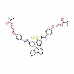 C=C(C)C(=O)OCCOc1ccc(/C(C)=N/c2ccc(C3(c4ccc(/N=C(\C)c5ccc(OCCOC(=O)C(=C)C)cc5)c(S)c4)c4ccccc4-c4ccccc43)cc2S)cc1